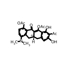 CC(=O)OC1=C2C(=O)c3c(OC(C)=O)ccc(N(C)C)c3C[C@H]2Cc2cc(O)c(C(C)=O)c(O)c21